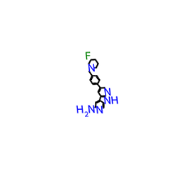 Nc1cc2c(cn1)[nH]c1ncc(-c3ccc(CN4CCCC(F)C4)cc3)cc12